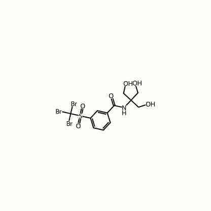 O=C(NC(CO)(CO)CO)c1cccc(S(=O)(=O)C(Br)(Br)Br)c1